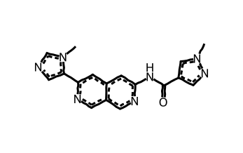 Cn1cc(C(=O)Nc2cc3cc(-c4cncn4C)ncc3cn2)cn1